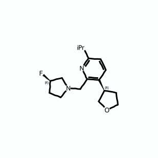 CC(C)c1ccc([C@H]2CCOC2)c(CN2CC[C@@H](F)C2)n1